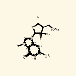 COC[C@@H]1[C@@H](C)OC(n2c[n+](C)c3c(=O)[nH]c(N)nc32)C1(F)F